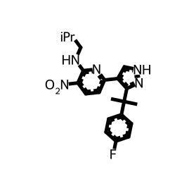 CC(C)CNc1nc(-c2c[nH]nc2C(C)(C)c2ccc(F)cc2)ccc1[N+](=O)[O-]